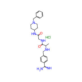 CC(NCc1ccc(C(=N)N)cc1)C(=O)NCC(=O)NC1CCN(Cc2ccccc2)CC1.Cl